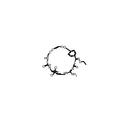 CCON=C1CC(=O)N=C(N)NCc2cc(Cl)c(c(Cl)c2)NC(=O)CNCCCC=CCOc2ccc1cc2